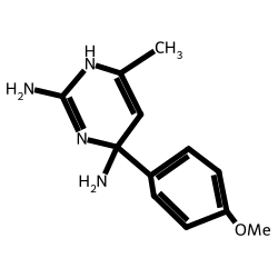 COc1ccc(C2(N)C=C(C)NC(N)=N2)cc1